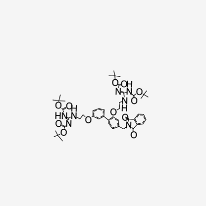 CC(C)(C)OC(=O)N=C(NCCOc1cccc(-c2ccc(CN3C(=O)c4ccccc4C3=O)cc2OCCNC(=NC(=O)OC(C)(C)C)NC(=O)OC(C)(C)C)c1)NC(=O)OC(C)(C)C